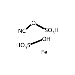 N#COS(=O)(=O)O.O=S(=O)(O)O.[Fe]